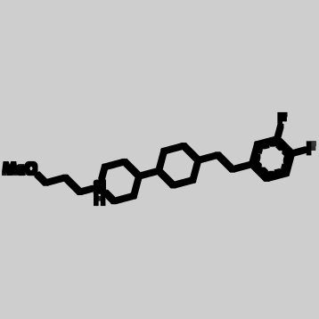 COCCC[SiH]1CCC(C2CCC(CCc3ccc(F)c(F)c3)CC2)CC1